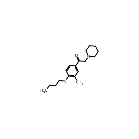 CCCCSc1ccc(C(=O)CN2CCCCC2)cc1C